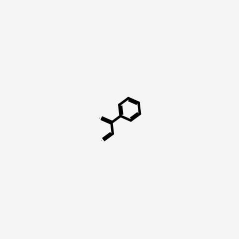 [CH]=CC(=[CH])c1ccccc1